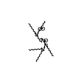 CCCCCCCCCN(CCCOC(=O)CCCCC)CCCC1CCN(C(=O)CCN(CCCCCCCCC)CCN(CCCCCCCCC)CCCCCCCCC)CC1